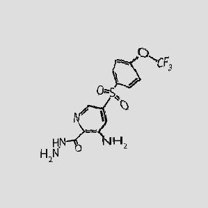 NNC(=O)c1ncc(S(=O)(=O)c2ccc(OC(F)(F)F)cc2)cc1N